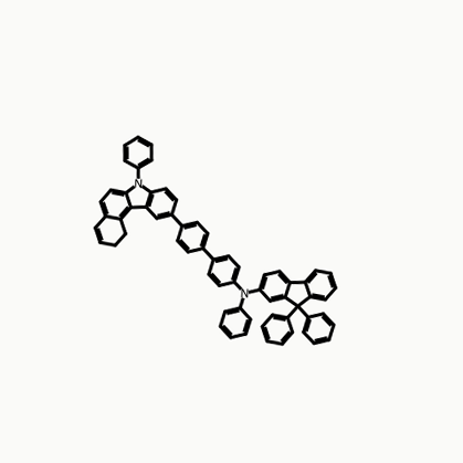 C1=Cc2ccc3c(c2CC1)c1cc(-c2ccc(-c4ccc(N(c5ccccc5)c5ccc6c(c5)C(c5ccccc5)(c5ccccc5)c5ccccc5-6)cc4)cc2)ccc1n3-c1ccccc1